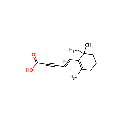 CC1=C(/C=C/C#CC(=O)O)C(C)(C)CCC1